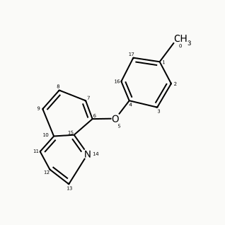 Cc1ccc(Oc2cccc3cccnc23)cc1